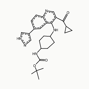 CC(C)(C)OC(=O)NC1CCC(Nc2c(C(=O)C3CC3)cnc3ccc(-c4cn[nH]c4)cc23)CC1